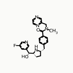 CN(Cc1cnccn1)C(=O)c1ccc(C[C@@H]2CC[C@H]([C@H](O)c3cncc(F)c3)N2)cc1